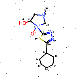 CCN1CC(O)[N+]([O-])(c2nnc(C3CCCCC3)s2)C1